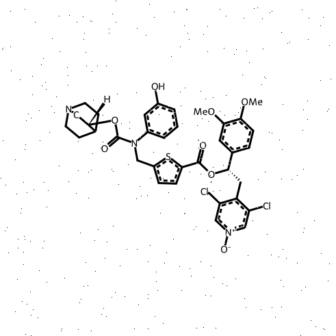 COc1ccc([C@H](Cc2c(Cl)c[n+]([O-])cc2Cl)OC(=O)c2ccc(CN(C(=O)O[C@H]3CN4CCC3CC4)c3cccc(O)c3)s2)cc1OC